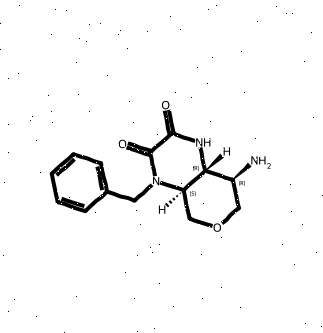 N[C@H]1COC[C@@H]2[C@@H]1NC(=O)C(=O)N2Cc1ccccc1